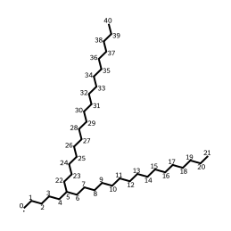 [CH2]CCCCC(CCCCCCCCCCCCCCCC)CCCCCCCCCCCCCCCCCCC